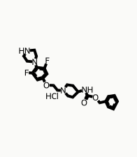 Cl.O=C(NC1CCN(CCOc2cc(F)c(N3CCNCC3)c(F)c2)CC1)OCc1ccccc1